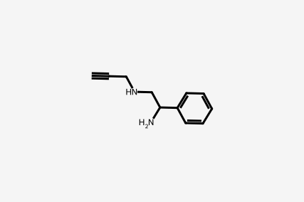 C#CCNCC(N)c1ccccc1